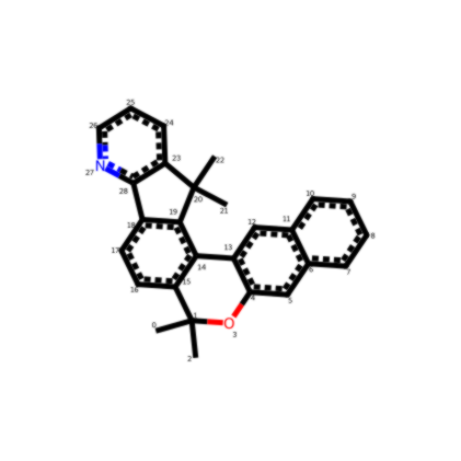 CC1(C)Oc2cc3ccccc3cc2-c2c1ccc1c2C(C)(C)c2cccnc2-1